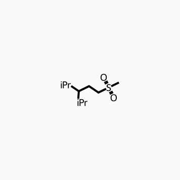 CC(C)C(CCS(C)(=O)=O)C(C)C